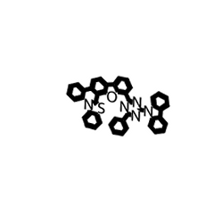 c1ccc(-c2nc(-c3cccc4c3oc3c(-c5nc6ccccc6s5)c(-c5ccccc5)ccc34)nc(-n3c4ccccc4c4ccccc43)n2)cc1